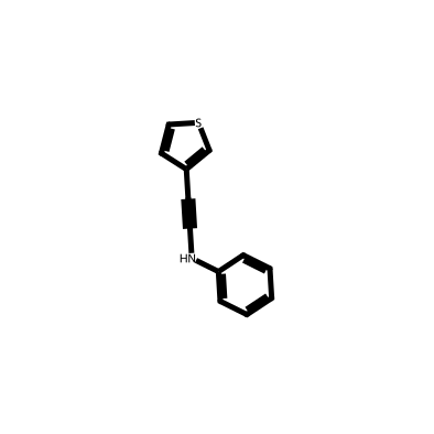 C(#Cc1ccsc1)Nc1ccccc1